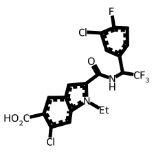 CCn1c(C(=O)NC(c2ccc(F)c(Cl)c2)C(F)(F)F)cc2cc(C(=O)O)c(Cl)cc21